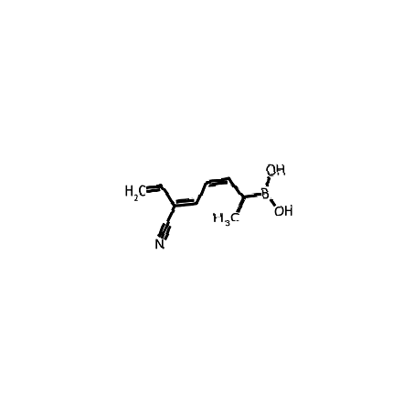 C=C/C(C#N)=C\C=C/C(C)B(O)O